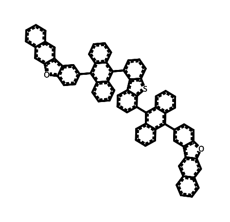 c1ccc2cc3c(cc2c1)oc1ccc(-c2c4ccccc4c(-c4cccc5c4sc4cccc(-c6c7ccccc7c(-c7ccc8oc9cc%10ccccc%10cc9c8c7)c7ccccc67)c45)c4ccccc24)cc13